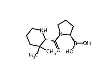 CC1(C)CCCN[C@@H]1C(=O)N1CCC[C@H]1B(O)O